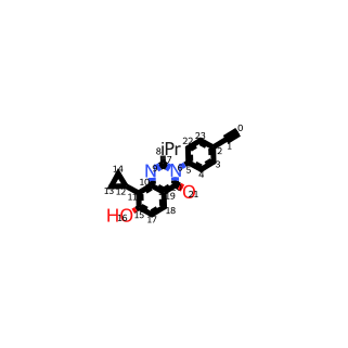 C#Cc1ccc(-n2c(C(C)C)nc3c(C4CC4)c(O)ccc3c2=O)cc1